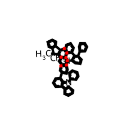 CC1(C)c2ccccc2-c2ccc(N(c3ccc(-c4cccc5c6ccccc6n(-c6ccccc6)c45)cc3)c3cccc(-c4ccccc4)c3-c3ccccc3-c3ccccc3)cc21